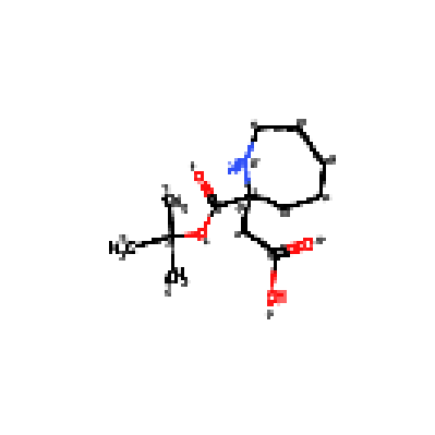 CC(C)(C)OC(=O)[C@@]1(CC(=O)O)CCCCCN1